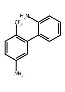 Nc1ccc(C(F)(F)F)c(-c2ccccc2N)c1